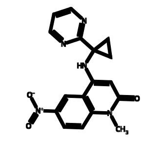 Cn1c(=O)cc(NC2(c3ncccn3)CC2)c2cc([N+](=O)[O-])ccc21